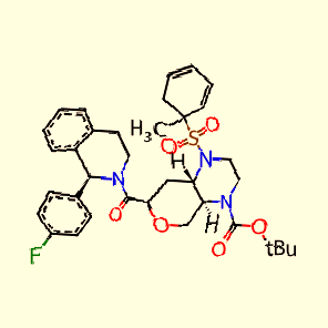 CC(C)(C)OC(=O)N1CCN(S(=O)(=O)C2(C)C=CC=CC2)[C@H]2C[C@H](C(=O)N3CCc4ccccc4[C@@H]3c3ccc(F)cc3)OC[C@@H]21